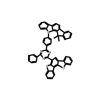 CC1(C)c2ccccc2-c2ccc3c4ccccc4n(-c4ccc(-c5nc(-c6ccccc6)nc(-c6cc7c8ccccc8oc7c7c6sc6ccccc67)n5)cc4)c3c21